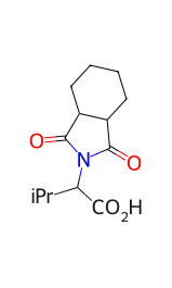 CC(C)C(C(=O)O)N1C(=O)C2CCCCC2C1=O